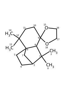 CC1(C)C2CCC3(C2)C1C1(CCC3(C)C)OCCO1